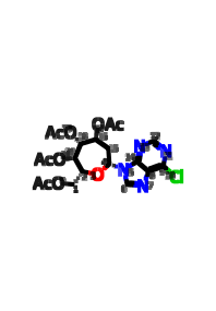 CC(=O)OC[C@H]1O[C@@H](n2cnc3c(Cl)ncnc32)C[C@H](OC(C)=O)[C@@H](OC(C)=O)[C@@H]1OC(C)=O